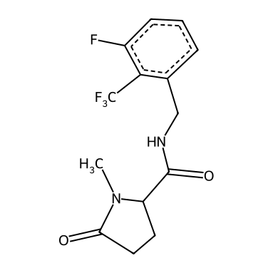 CN1C(=O)CCC1C(=O)NCc1cccc(F)c1C(F)(F)F